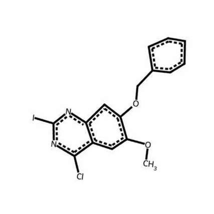 COc1cc2c(Cl)nc(I)nc2cc1OCc1ccccc1